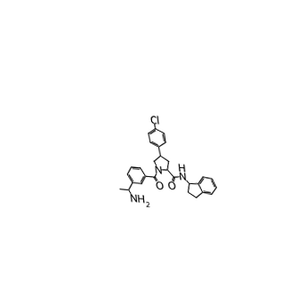 CC(N)c1cccc(C(=O)N2CC(c3ccc(Cl)cc3)CC2C(=O)NC2CCc3ccccc32)c1